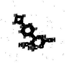 CC(C)C(NC(=O)O)c1ccc(N2CCC2)nc1